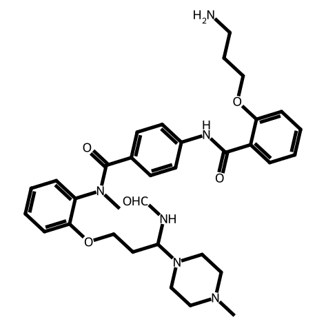 CN1CCN(C(CCOc2ccccc2N(C)C(=O)c2ccc(NC(=O)c3ccccc3OCCCN)cc2)NC=O)CC1